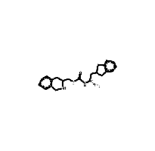 C[C@@H](CC1Cc2ccccc2C1)NC(=O)NCC1Cc2ccccc2CN1